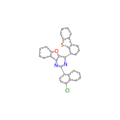 Clc1ccc(-c2nc(-c3cccc4c3sc3ccccc34)c3oc4ccccc4c3n2)c2ccccc12